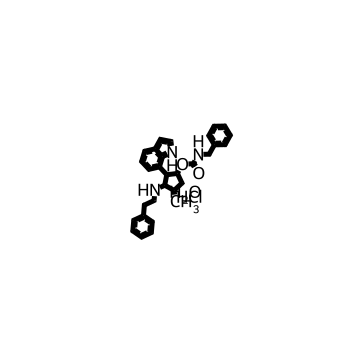 CC1CC(OC(=O)NCc2ccccc2)C(c2cccc3cc[nH]c23)C1NCCc1ccccc1.Cl.O